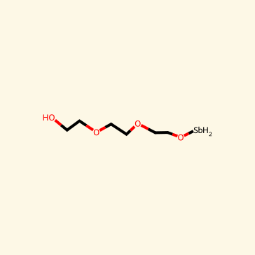 OCCOCCOCC[O][SbH2]